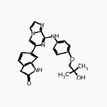 CC(C)(O)COc1ccc(Nc2nc(-c3ccc4c(c3)NC(=O)C4)cn3ccnc23)cc1